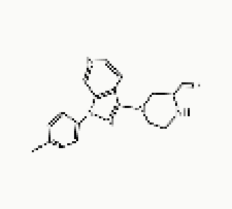 Cc1ccc(-n2nc(N3CCNC(C=O)C3)c3ccncc32)cc1